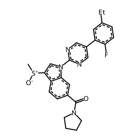 CCc1ccc(F)c(-c2cnc(-n3cc([S+](C)[O-])c4ccc(C(=O)N5CCCC5)cc43)nc2)c1